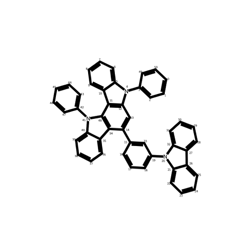 c1ccc(-n2c3ccccc3c3c2cc(-c2cccc(-n4c5ccccc5c5ccccc54)c2)c2c4ccccc4n(-c4ccccc4)c23)cc1